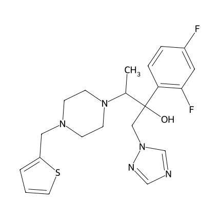 CC(N1CCN(Cc2cccs2)CC1)C(O)(Cn1cncn1)c1ccc(F)cc1F